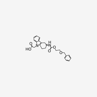 O=C(O)Cn1c2c(c3ccccc31)C[C@@H](NC(=O)OCCOCc1ccccc1)CC2